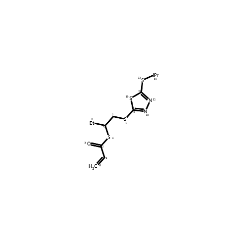 C=CC(=O)SC(CC)CSc1nnc(SC(C)C)s1